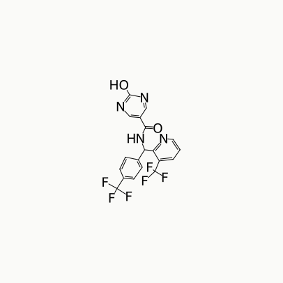 O=C(NC(c1ccc(C(F)(F)F)cc1)c1ncccc1C(F)(F)F)c1cnc(O)nc1